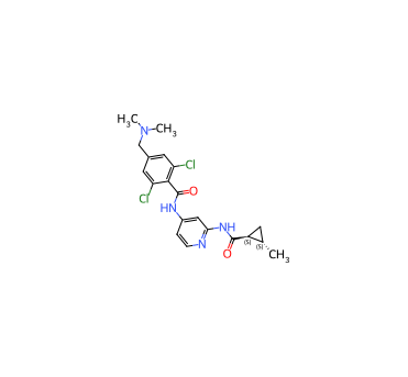 C[C@H]1C[C@@H]1C(=O)Nc1cc(NC(=O)c2c(Cl)cc(CN(C)C)cc2Cl)ccn1